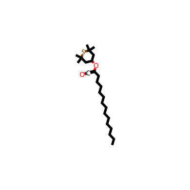 CCCCCCCCCCCCCCC(=C=O)OC1CC(C)(C)SC(C)(C)C1